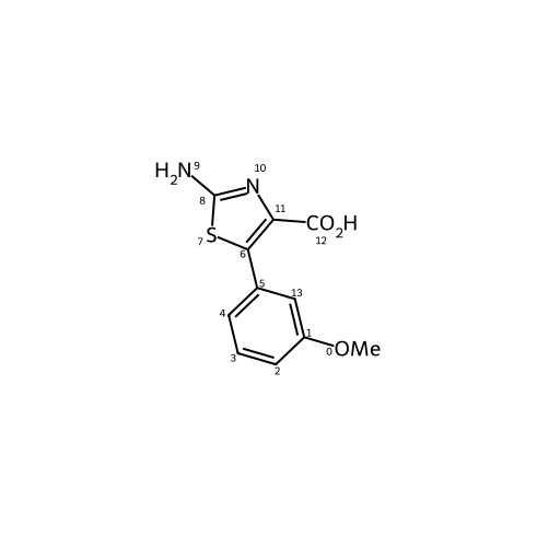 COc1cccc(-c2sc(N)nc2C(=O)O)c1